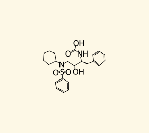 O=C(O)N[C@@H](Cc1ccccc1)[C@H](O)CN(C1CCCCC1)S(=O)(=O)c1ccccc1